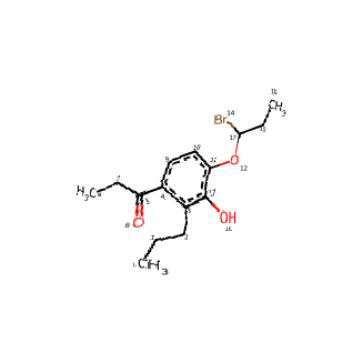 CCCc1c(C(=O)CC)ccc(OC(Br)CC)c1O